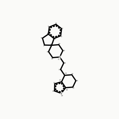 c1ccc2c(c1)CCC21CCN(CCC2CCCc3sccc32)CC1